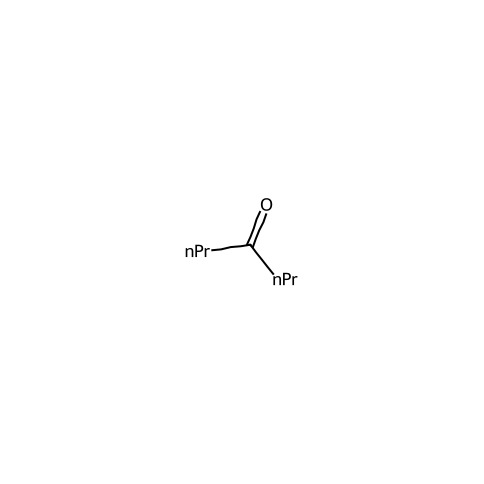 [CH2]CCC(=O)CCC